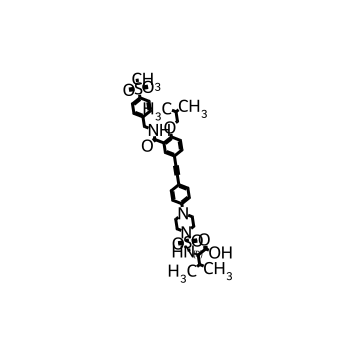 CC(C)COc1ccc(C#Cc2ccc(N3CCN(S(=O)(=O)N[C@@H](C(=O)O)C(C)C)CC3)cc2)cc1C(=O)NCc1ccc(S(C)(=O)=O)cc1